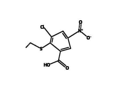 CCSc1c(Cl)cc([N+](=O)[O-])cc1C(=O)O